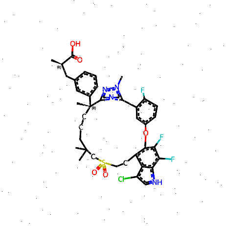 C[C@H](Cc1cccc([C@@]2(C)CCCC(C)(C)CS(=O)(=O)CCc3c(c(F)c(F)c4[nH]cc(Cl)c34)Oc3ccc(F)c(c3)-c3nc2nn3C)c1)C(=O)O